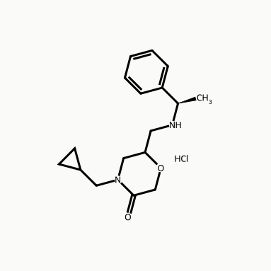 C[C@@H](NCC1CN(CC2CC2)C(=O)CO1)c1ccccc1.Cl